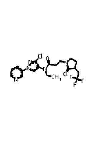 CCN(C(=O)CCN1CCC(CC(F)(F)F)C1=O)c1cn(-c2cccnc2)nc1Cl